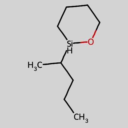 CCCC(C)[SiH]1CCCCO1